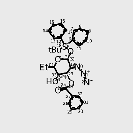 CCC1O[C@@H](O[Si](c2ccccc2)(c2ccccc2)C(C)(C)C)C(N=[N+]=[N-])[C@@H](OC(=O)c2ccccc2)[C@@H]1O